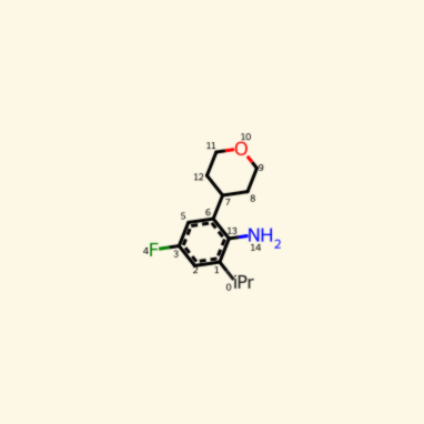 CC(C)c1cc(F)cc(C2CCOCC2)c1N